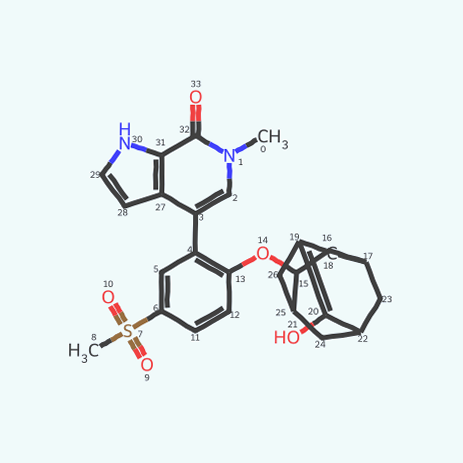 Cn1cc(-c2cc(S(C)(=O)=O)ccc2OC2CC3CC4=C(O)C(C3)CC2C4)c2cc[nH]c2c1=O